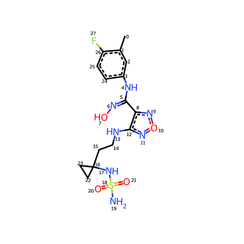 Cc1cc(NC(=NO)c2nonc2NCCC2(NS(N)(=O)=O)CC2)ccc1F